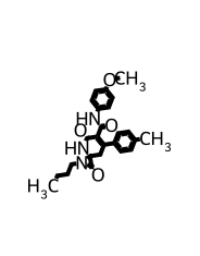 CCCCN1C(=O)C12CC(c1ccc(C)cc1)=C(C(=O)Nc1ccc(OC)cc1)C(=O)N2